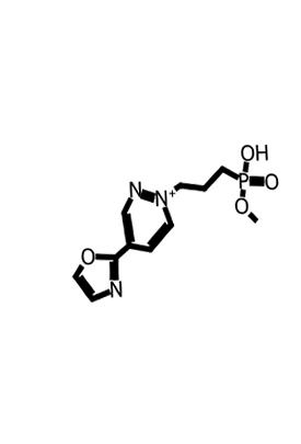 COP(=O)(O)CCC[n+]1ccc(-c2ncco2)cn1